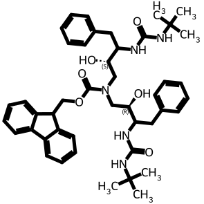 CC(C)(C)NC(=O)NC(Cc1ccccc1)[C@H](O)CN(C[C@H](O)C(Cc1ccccc1)NC(=O)NC(C)(C)C)C(=O)OCC1c2ccccc2-c2ccccc21